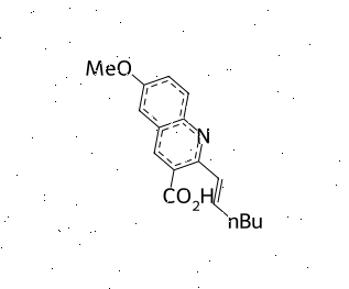 CCCCC=Cc1nc2ccc(OC)cc2cc1C(=O)O